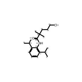 CC(C)c1cccc(C(C)C)c1NC(=O)C(C)(C)CCCCl